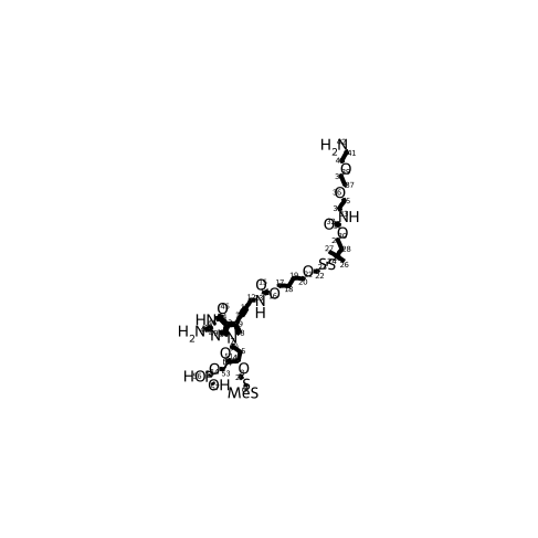 CSSCOC1C[C@H](n2cc(C#CCNC(=O)OCCCCOCSSC(C)(C)CCOC(=O)NCCOCCOCCN)c3c(=O)[nH]c(N)nc32)O[C@@H]1COP(O)O